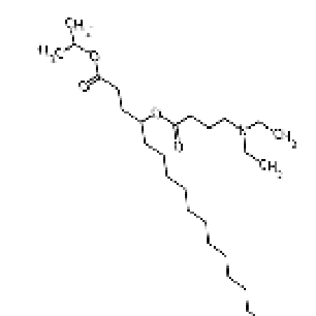 [CH2]C([CH2])OC(=O)CCC(CCCCCCCCCCCC)OC(=O)CCCN(CC)CC